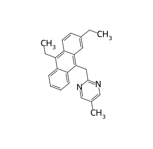 CCc1ccc2c(CC)c3ccccc3c(Cc3ncc(C)cn3)c2c1